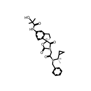 C[C@@H](C1CC1)N(Cc1ccccc1)C(=O)CN1C(=O)O[C@]2(CCc3cc(NC(=O)C(C)(C)O)ccc32)C1=O